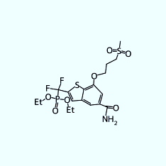 CCOP(=O)(OCC)C(F)(F)c1cc2cc(C(N)=O)cc(OCCCS(C)(=O)=O)c2s1